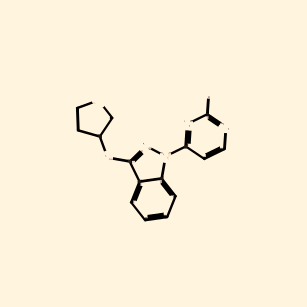 Clc1nccc(-n2nc(NC3CCOC3)c3ccccc32)n1